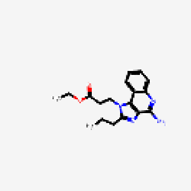 CCCc1nc2c(N)nc3ccccc3c2n1CCC(=O)OCC